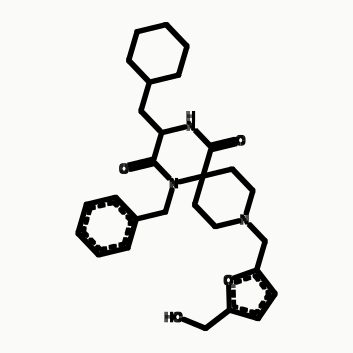 O=C1C(CC2CCCCC2)NC(=O)C2(CCN(Cc3ccc(CO)o3)CC2)N1Cc1ccccc1